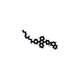 C=C\C=C/C=C\C(C)=C\C=C(/C)c1ccc(-c2c3ccccc3c(-c3ccc4c(c3)oc3c5ccccc5ccc43)c3ccccc23)cc1